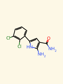 NC(=O)c1cc(-c2cccc(Cl)c2Cl)[nH]c1N